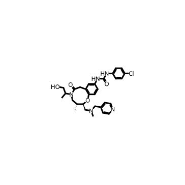 CC(CO)N1C[C@@H](C)[C@H](CN(C)Cc2ccncc2)Oc2ccc(NC(=O)Nc3ccc(Cl)cc3)cc2CC1=O